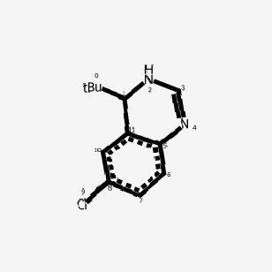 CC(C)(C)C1NC=Nc2ccc(Cl)cc21